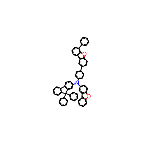 c1ccc(-c2cccc3c2oc2ccc(-c4ccc(N(c5ccc6c(c5)C(c5ccccc5)(c5ccccc5)c5ccccc5-6)c5ccc6oc7ccccc7c6c5)cc4)cc23)cc1